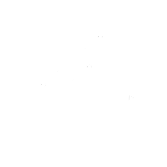 CC(C)CCCCOC(=O)C1CCCCC1C(=O)OCCC(C)C